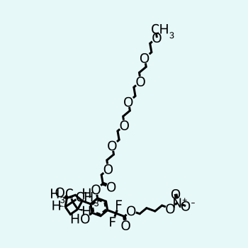 COCCOCCOCCOCCOCCOCCOCC(=O)Oc1cc(C(F)(F)C(=O)OCCCCO[N+](=O)[O-])cc(O)c1[C@@H]1CC(=O)[C@@H]2C[C@@H]1C2(C)C